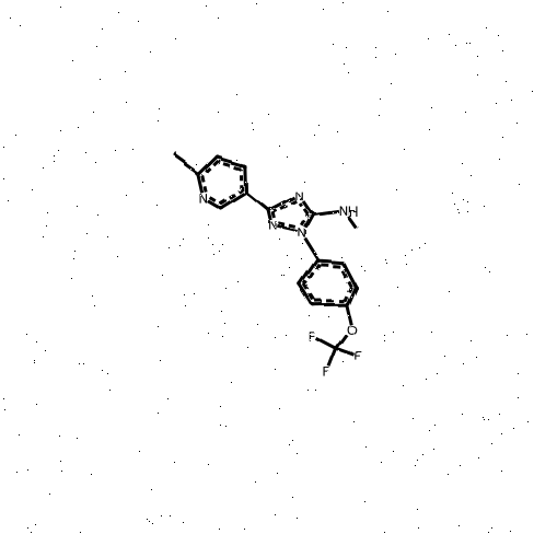 CNc1nc(-c2ccc(C)nc2)nn1-c1ccc(OC(F)(F)F)cc1